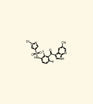 CCn1cc(S(=O)(=O)Nc2ccc(F)c(C(=O)c3c[nH]c4ncc(C#N)cc34)c2F)cn1